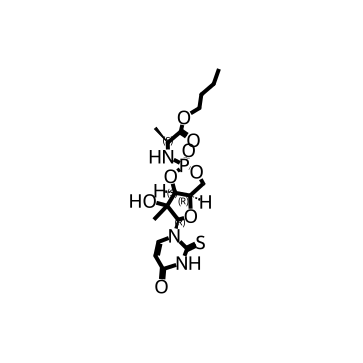 CCCCOC(=O)[C@H](C)NP1(=O)OC[C@H]2O[C@@H](n3ccc(=O)[nH]c3=S)C(C)(O)[C@H]2O1